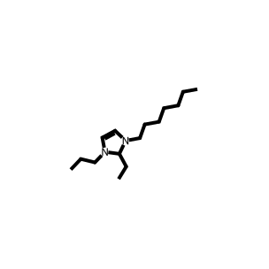 CCCCCCCN1C=CN(CCC)C1CC